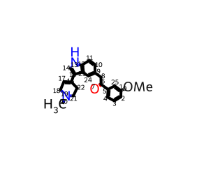 COc1cccc(C(=O)Cc2ccc3[nH]cc(C4=CCN(C)CC4)c3c2)c1